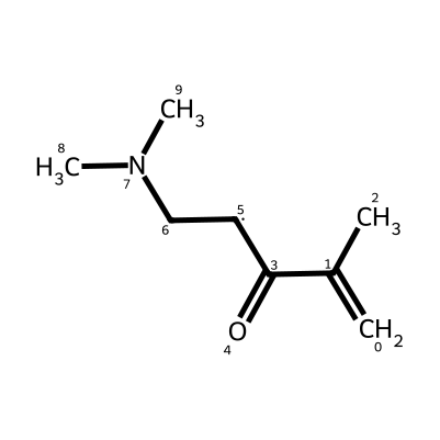 C=C(C)C(=O)[CH]CN(C)C